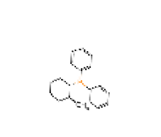 C[C@H]1CCCC[C@@H]1P(c1ccccc1)c1ccccc1